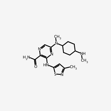 CNC1CCC(N(C)c2cnc(C(N)=O)c(Nc3cc(C)ns3)n2)CC1